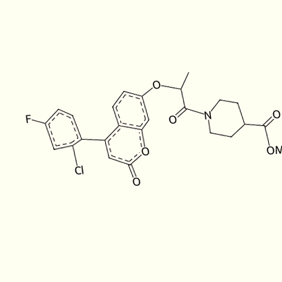 COC(=O)C1CCN(C(=O)C(C)Oc2ccc3c(-c4ccc(F)cc4Cl)cc(=O)oc3c2)CC1